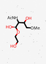 COCC(O)C(NC(C)=O)[C@H](O)OCCO